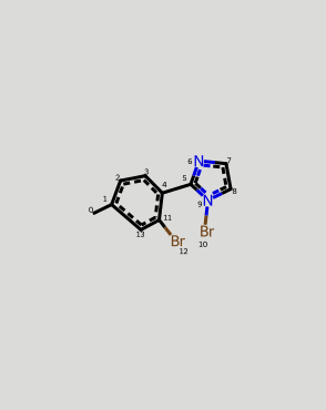 Cc1ccc(-c2nccn2Br)c(Br)c1